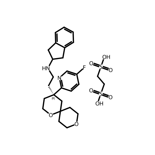 Fc1ccc([C@]2(CCNC3Cc4ccccc4C3)CCOC3(CCOCC3)C2)nc1.O=S(=O)(O)CCS(=O)(=O)O